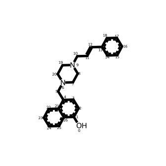 Oc1ccc(CN2CCN(C/C=C/c3ccccc3)CC2)c2ccccc12